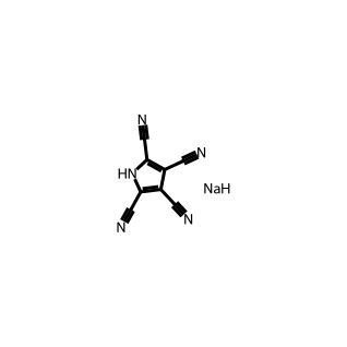 N#Cc1[nH]c(C#N)c(C#N)c1C#N.[NaH]